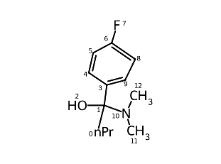 CCCC(O)(c1ccc(F)cc1)N(C)C